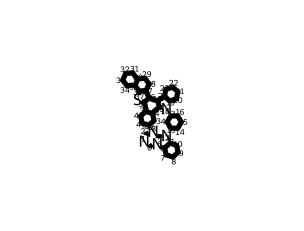 C1=NC=NC2N1c1ccccc1N2c1cccc(-n2c3ccccc3c3c4c5ccc6ccccc6c5sc4c4ccccc4c32)c1